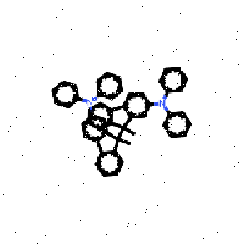 CC1(C2(C)c3ccccc3-c3ccc(N(c4ccccc4)c4ccccc4)cc32)c2ccccc2-c2ccc(N(c3ccccc3)c3ccccc3)cc21